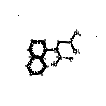 CC(C)[C@H](O)[C@H](CN(C)C)c1cccc2ccccc12